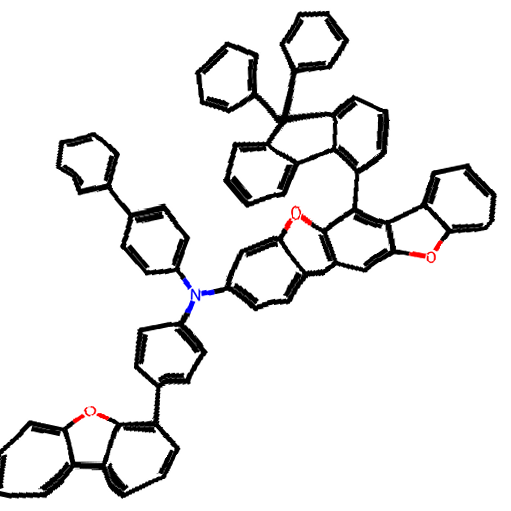 c1ccc(-c2ccc(N(c3ccc(-c4cccc5c4oc4ccccc45)cc3)c3ccc4c(c3)oc3c(-c5cccc6c5-c5ccccc5C6(c5ccccc5)c5ccccc5)c5c(cc34)oc3ccccc35)cc2)cc1